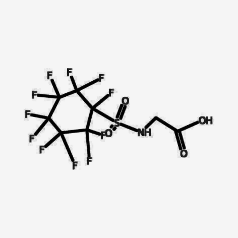 O=C(O)CNS(=O)(=O)C1(F)C(F)(F)C(F)(F)C(F)(F)C(F)(F)C1(F)F